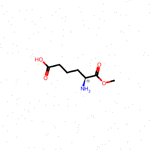 COC(=O)[C@@H](N)CCCC(=O)O